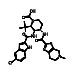 CN1CCc2nc(C(=O)N[C@H]3CCN(C(=O)O)C(C(C)(C)C)[C@@H]3NC(=O)c3cc4cc(Cl)ccc4[nH]3)sc2C1